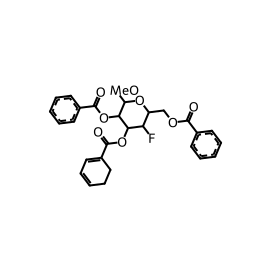 COC1OC(COC(=O)c2ccccc2)C(F)C(OC(=O)C2=CC=CCC2)C1OC(=O)c1ccccc1